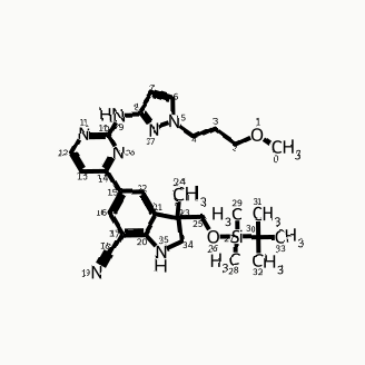 COCCCn1ccc(Nc2nccc(-c3cc(C#N)c4c(c3)C(C)(CO[Si](C)(C)C(C)(C)C)CN4)n2)n1